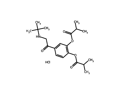 CC(C)C(=O)Oc1ccc(C(=O)CNC(C)(C)C)cc1OC(=O)C(C)C.Cl